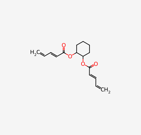 C=CC=CC(=O)OC1CCCCC1OC(=O)C=CC=C